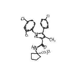 CCOC(=O)C1(NC(=O)c2nn(-c3ccc(Cl)cc3Cl)c(-c3ccc(Cl)cc3)c2C)CCCC1